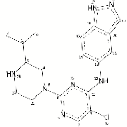 CC(C)C1CN(c2ncc(Cl)c(Nc3ccc4[nH]ncc4c3)n2)CCN1